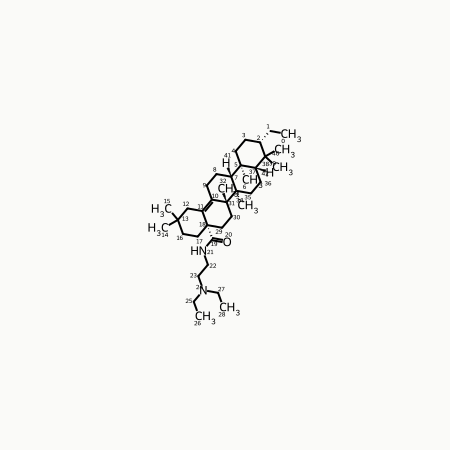 CC[C@H]1CC[C@]2(C)[C@H]3CCC4=C5CC(C)(C)CC[C@]5(C(=O)NCCN(CC)CC)CC[C@@]4(C)[C@]3(C)CC[C@H]2C1(C)C